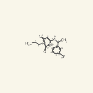 CCCn1c(=O)cc(NC(C)c2cccc(F)c2)[nH]c1=O